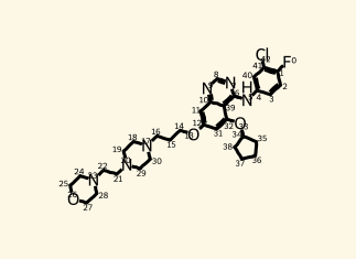 Fc1ccc(Nc2ncnc3cc(OCCCN4CCN(CCN5CCOCC5)CC4)cc(OC4CCCC4)c23)cc1Cl